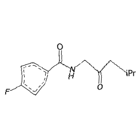 CC(C)CC(=O)CNC(=O)c1ccc(F)cc1